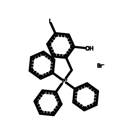 Oc1cc(I)ccc1C[P+](c1ccccc1)(c1ccccc1)c1ccccc1.[Br-]